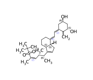 C=C1/C(=C\C=C2/CCC[C@]3(C)C([C@H](C)C/C=C(/C)S(=O)(=O)C(C)(C)C)=CC[C@@H]23)C[C@@H](O)C[C@@H]1O